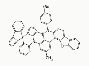 Cc1cc2c3c(c1)N1c4ccccc4C4(c5ccccc5-c5ccccc54)c4cccc(c41)B3N(c1ccc(C(C)(C)C)cc1)c1ccc3c(oc4ccccc43)c1-2